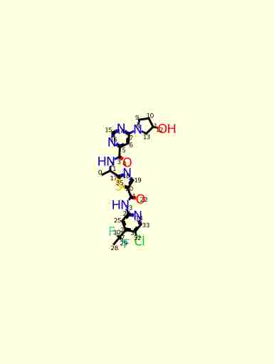 CC(NC(=O)c1cc(N2CCC(O)C2)ncn1)c1ncc(C(=O)Nc2cc(C(C)(F)F)c(Cl)cn2)s1